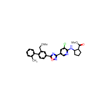 COCc1cc(-c2nc(-c3cnc(NC4CCCC4C(=O)OC)c(Cl)c3)no2)ccc1-c1ccccc1C